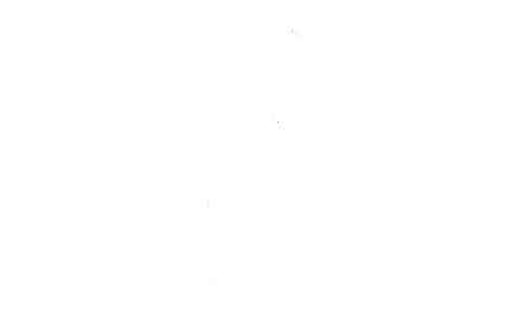 CC(=O)OC1CCc2cc(OCCc3nc(-c4cccc(C#N)c4)oc3C)ccc21